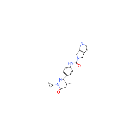 C[C@@H]1CC(=O)N(C2CC2)N=C1c1ccc(NC(=O)N2Cc3ccncc3C2)cc1